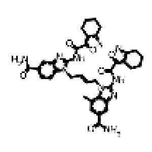 Cc1cc(C(N)=O)cc2nc(NC(=O)c3onc4c3CCCC4)n(C/C=C/Cn3c(NC(=O)c4onc5c4CCCC5)nc4cc(C(N)=O)ccc43)c12